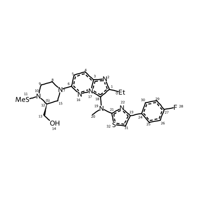 CCc1nc2ccc(N3CCN(SC)[C@H](CO)C3)nn2c1N(C)c1nc(-c2ccc(F)cc2)cs1